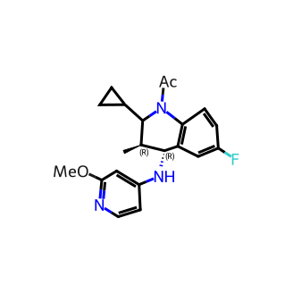 COc1cc(N[C@H]2c3cc(F)ccc3N(C(C)=O)C(C3CC3)[C@@H]2C)ccn1